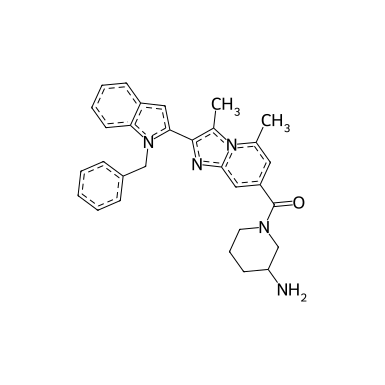 Cc1cc(C(=O)N2CCCC(N)C2)cc2nc(-c3cc4ccccc4n3Cc3ccccc3)c(C)n12